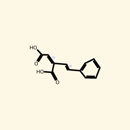 O=C(O)/C=C(/C=C/c1ccccc1)C(=O)O